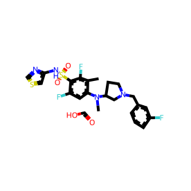 Cc1c(N(C)C2CCN(Cc3cccc(F)c3)C2)cc(F)c(S(=O)(=O)Nc2cscn2)c1F.O=CO